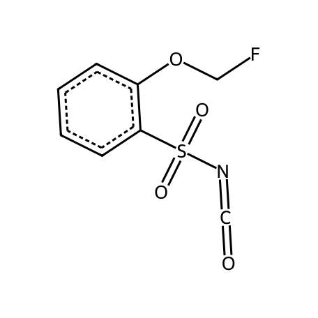 O=C=NS(=O)(=O)c1ccccc1OCF